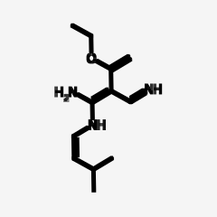 C=C(OCC)/C(C=N)=C(\N)N/C=C\C(C)C